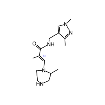 C/C(=C\N1CCNCC1C)C(=O)NCc1cn(C)nc1C